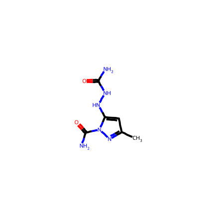 Cc1cc(NNC(N)=O)n(C(N)=O)n1